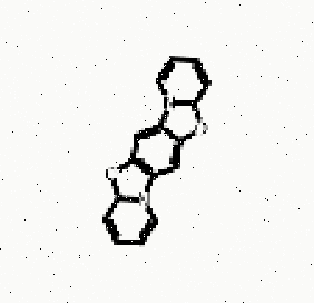 C1=CC2Oc3cc4c(cc3N2C=C1)OC1C=CC=CN41